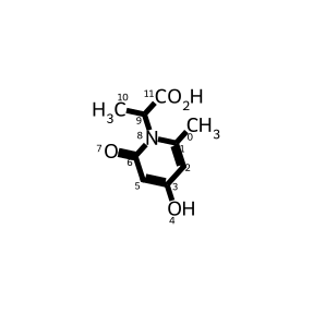 Cc1cc(O)cc(=O)n1C(C)C(=O)O